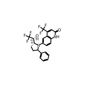 O=c1cc(C(F)(F)F)c2cc(N3C(c4ccccc4)CC[C@@H]3[C@@H](O)C(F)(F)F)ccc2[nH]1